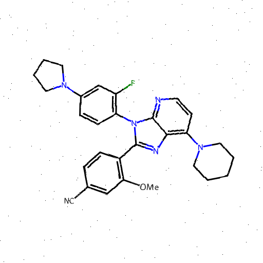 COc1cc(C#N)ccc1-c1nc2c(N3CCCCC3)ccnc2n1-c1ccc(N2CCCC2)cc1F